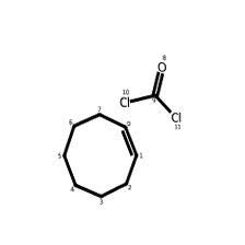 C1=C\CCCCCC/1.O=C(Cl)Cl